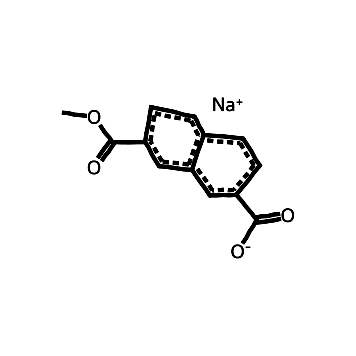 COC(=O)c1ccc2ccc(C(=O)[O-])cc2c1.[Na+]